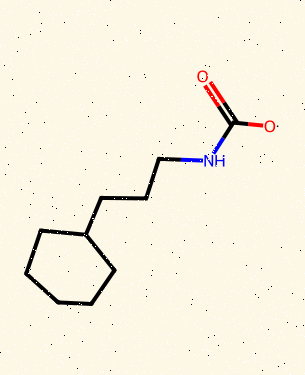 [O]C(=O)NCCCC1CCCCC1